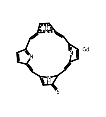 S=C1C=C2C=C3C=CC(=N3)C=c3ccc([nH]3)=CC3=NC(=CC1N2)C=C3.[Gd]